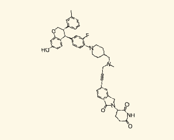 Cc1cccc([C@@H]2COc3cc(O)ccc3[C@@H]2c2ccc(N3CCC(CN(C)CC#Cc4ccc5c(c4)CN(C4CCC(=O)NC4=O)C5=O)CC3)c(F)c2)c1